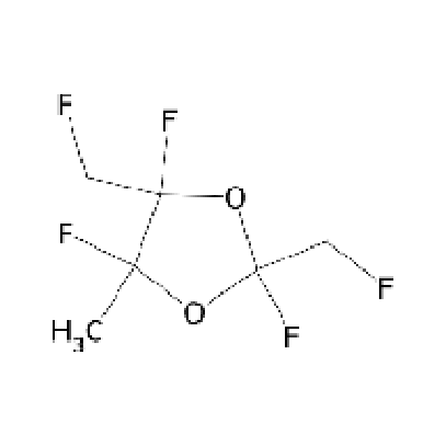 CC1(F)OC(F)(CF)OC1(F)CF